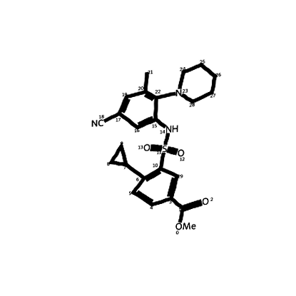 COC(=O)c1ccc(C2CC2)c(S(=O)(=O)Nc2cc(C#N)cc(C)c2N2CCCCC2)c1